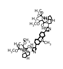 COC(=O)N[C@H](C(=O)N1[C@@H]2CCC[C@@H]2C[C@H]1c1ncc(-c2ccc3c4ccc(-c5cnc([C@@H]6C[C@@H]7CCC[C@@H]7N6C(=O)[C@@H](NC(=O)OC)[C@@H](C)OC)[nH]5)cc4n(C)c3c2)[nH]1)[C@@H](C)OC